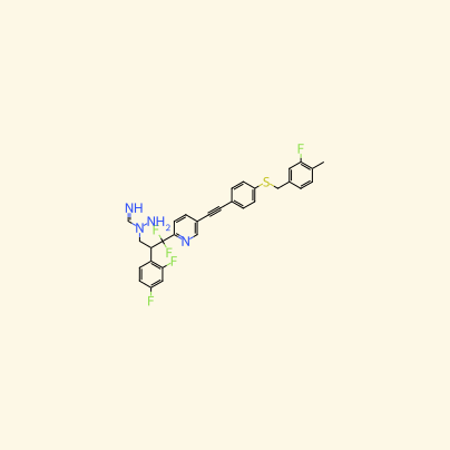 Cc1ccc(CSc2ccc(C#Cc3ccc(C(F)(F)C(CN(N)C=N)c4ccc(F)cc4F)nc3)cc2)cc1F